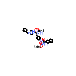 CCC(=O)N[C@H](Cc1ccc(NC(=O)[C@@H](NC(=O)OC(C)(C)C)C2Cc3ccccc3C2)cc1)C(=O)N1CCN(Cc2ccccc2)CC1